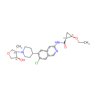 CCO[C@@H]1C[C@@H]1C(=O)Nc1cc2cc(C3CCN([C@]4(C)COC[C@@H]4O)CC3)c(Cl)cc2cn1